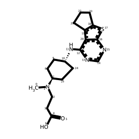 CN(CCC(=O)O)[C@H]1CC[C@H](Nc2ncnc3sc4c(c23)CCC4)CC1